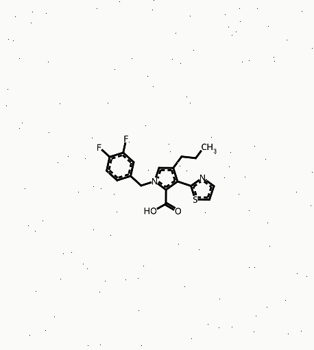 CCCc1cn(Cc2ccc(F)c(F)c2)c(C(=O)O)c1-c1nccs1